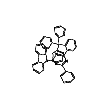 c1ccc(-c2nc(-c3ccccc3C(c3ccccc3)(c3ccccc3)c3ccccc3)nc(-n3c4ccccc4c4ccccc43)n2)cc1